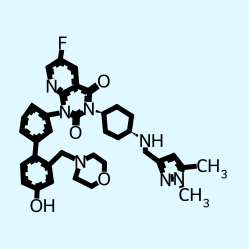 Cc1cc(CN[C@H]2CC[C@@H](n3c(=O)c4cc(F)cnc4n(-c4cccc(-c5ccc(O)cc5CN5CCOCC5)c4)c3=O)CC2)nn1C